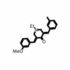 CCN1C/C(=C\c2cccc(C)c2)C(=O)/C(=C/c2cccc(OC)c2)C1